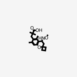 CONC1CC2(CCC2)Oc2cc(C)c(CC(C)(C)C(=O)O)c(C)c21